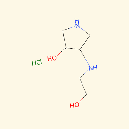 Cl.OCCNC1CNCC1O